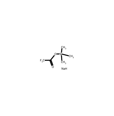 C[Si](C)(C)OC(=O)C(F)(F)F.[NaH]